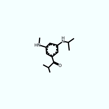 CNc1cc(NC(C)C)cc(C(=O)C(C)C)c1